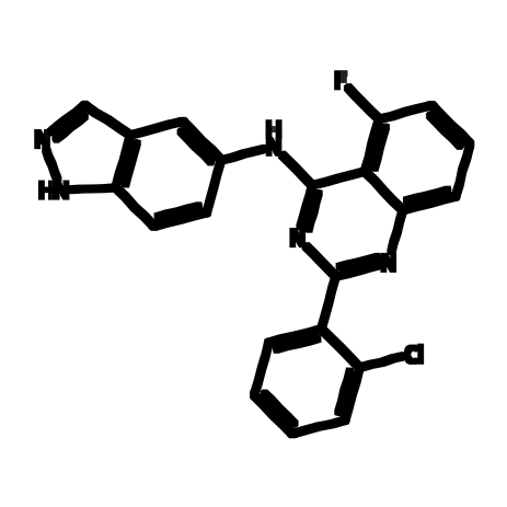 Fc1cccc2nc(-c3ccccc3Cl)nc(Nc3ccc4[nH]ncc4c3)c12